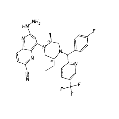 CC[C@@H]1CN(c2cc(NN)nc3ccc(C#N)nc23)[C@@H](C)CN1C(c1ccc(F)cc1)c1ccc(C(F)(F)F)cn1